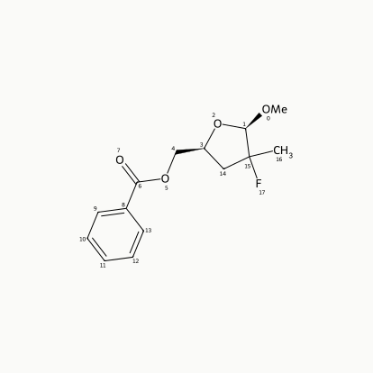 CO[C@@H]1O[C@H](COC(=O)c2ccccc2)CC1(C)F